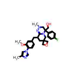 COc1cc(CC2CC3(COC3)CN3C2=NN(C)CC3(CO)c2ccc(F)cc2)ccc1-n1cnc(C)c1